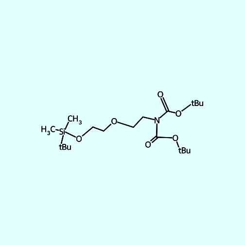 CC(C)(C)OC(=O)N(CCOCCO[Si](C)(C)C(C)(C)C)C(=O)OC(C)(C)C